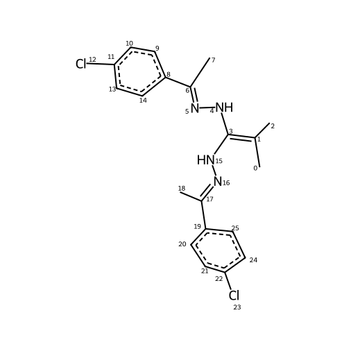 CC(C)=C(N/N=C(\C)c1ccc(Cl)cc1)N/N=C(\C)c1ccc(Cl)cc1